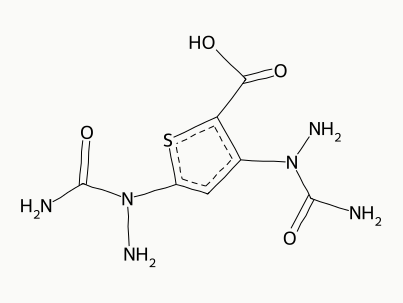 NC(=O)N(N)c1cc(N(N)C(N)=O)c(C(=O)O)s1